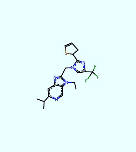 CCn1c(Cn2cc(C(F)(F)F)nc2C2CC=CS2)nc2cc(C(C)C)ncc21